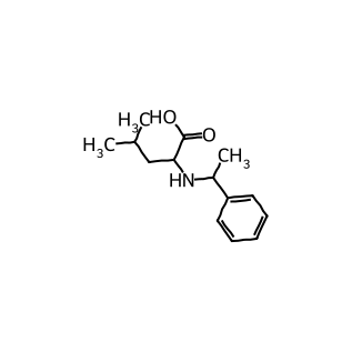 CC(C)CC(NC(C)c1ccccc1)C(=O)O